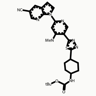 CNc1cc(-n2ccc3cc(C#N)cnc32)ncc1-c1nnc(C2CCC(NC(=O)OC(C)(C)C)CC2)s1